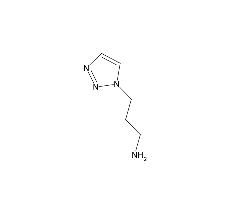 NCCCn1ccnn1